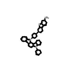 CCCCc1ccc2c(c1)sc1cc(-c3ccc(-n4c5ccccc5c5ccc6c(c7ccccc7n6-c6ccccc6)c54)cc3)ccc12